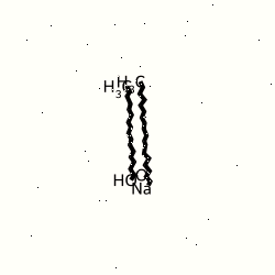 CCCCCCCCCCCCCCCC(=O)O.CCCCCCCCCCCCCCCCC[CH2][Na]